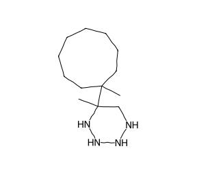 CC1(C2(C)CNNNN2)CCCCCCCC1